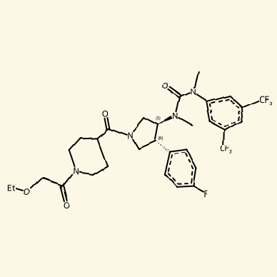 CCOCC(=O)N1CCC(C(=O)N2C[C@@H](N(C)C(=O)N(C)c3cc(C(F)(F)F)cc(C(F)(F)F)c3)[C@H](c3ccc(F)cc3)C2)CC1